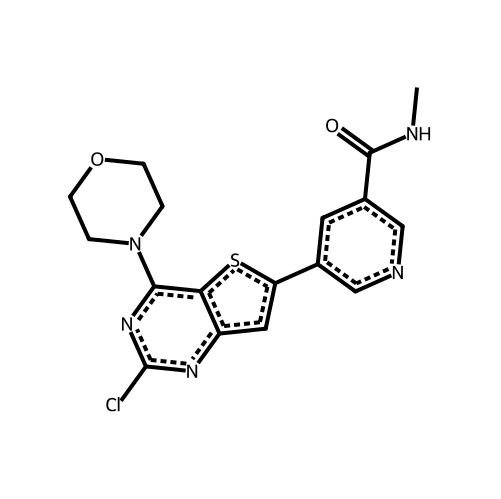 CNC(=O)c1cncc(-c2cc3nc(Cl)nc(N4CCOCC4)c3s2)c1